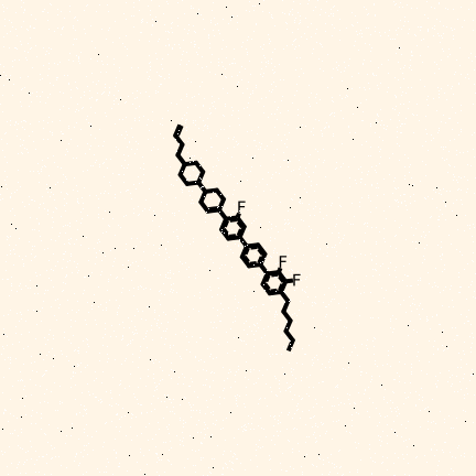 C=CCCC1CCC(C2CC=C(c3ccc(-c4ccc(-c5ccc(CCCCCC)c(F)c5F)cc4)cc3F)CC2)CC1